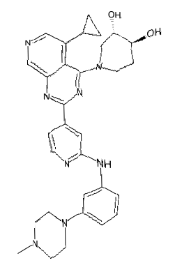 CN1CCN(c2cccc(Nc3cc(-c4nc(N5CC[C@H](O)[C@@H](O)C5)c5c(C6CC6)cncc5n4)ccn3)c2)CC1